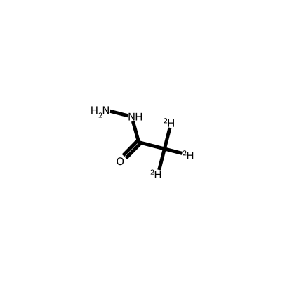 [2H]C([2H])([2H])C(=O)NN